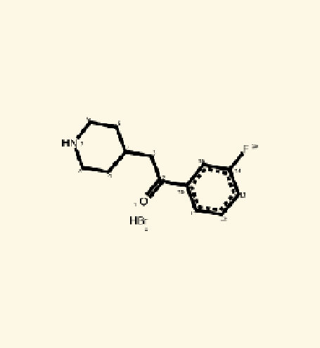 Br.O=C(CC1CCNCC1)c1cccc(F)c1